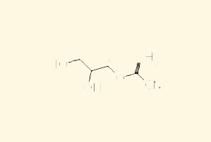 C=C(C#N)OCC(O)CO